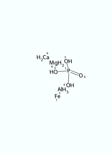 O=P(O)(O)O.[AlH3].[CaH2].[Fe].[MgH2]